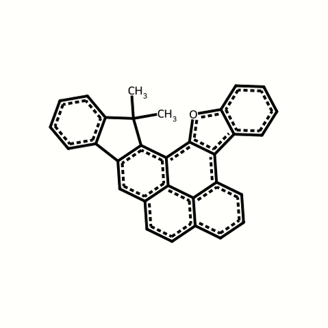 CC1(C)c2ccccc2-c2cc3ccc4cccc5c6c7ccccc7oc6c(c21)c3c45